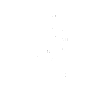 CC(C)c1csc(C2(c3nc4c(c(=O)[nH]3)CN(C(=O)C(O)c3cccc(-c5cccc(Cl)c5)c3)CCC4)CC2)c1